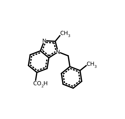 Cc1ccccc1Cn1c(C)nc2ccc(C(=O)O)cc21